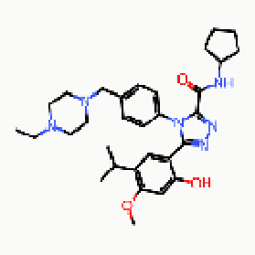 CCN1CCN(Cc2ccc(-n3c(C(=O)NC4CCCC4)nnc3-c3cc(C(C)C)c(OC)cc3O)cc2)CC1